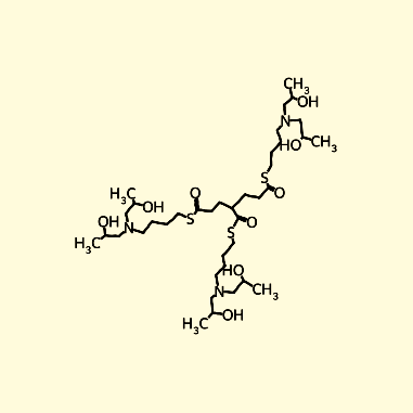 CC(O)CN(CCCCSC(=O)CCC(CCC(=O)SCCCCN(CC(C)O)CC(C)O)C(=O)SCCCCN(CC(C)O)CC(C)O)CC(C)O